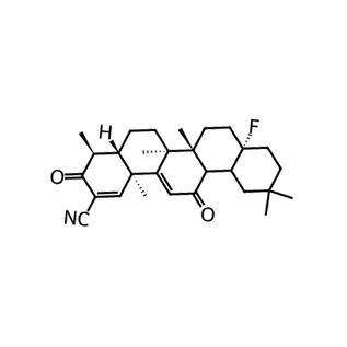 C[C@@H]1C(=O)C(C#N)=C[C@]2(C)C3=CC(=O)C4C5CC(C)(C)CC[C@]5(F)CC[C@@]4(C)[C@]3(C)CC[C@@H]12